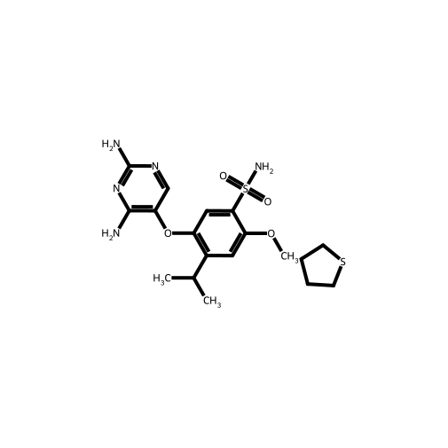 C1CCSC1.COc1cc(C(C)C)c(Oc2cnc(N)nc2N)cc1S(N)(=O)=O